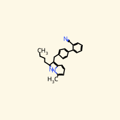 CCCCc1nn2c(C)cccc2c1Cc1ccc(-c2ccccc2C#N)cc1